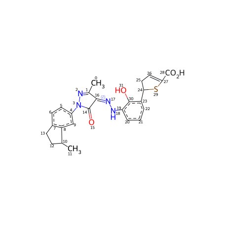 CC1=NN(c2ccc3c(c2)C(C)CC3)C(=O)/C1=N\Nc1cccc(C2CC=C(C(=O)O)S2)c1O